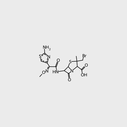 CON=C(C(=O)NC1C(=O)N2C1SC(C)(CBr)C2C(=O)O)c1csc(N)n1